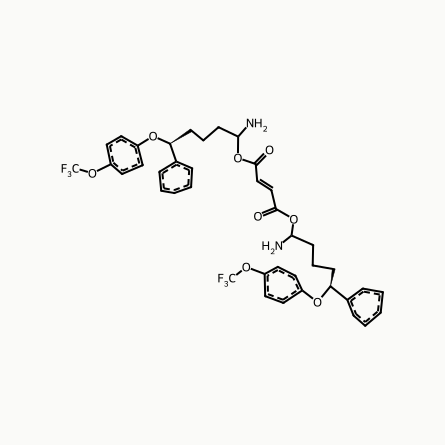 NC(CCC[C@H](Oc1ccc(OC(F)(F)F)cc1)c1ccccc1)OC(=O)/C=C/C(=O)OC(N)CCC[C@H](Oc1ccc(OC(F)(F)F)cc1)c1ccccc1